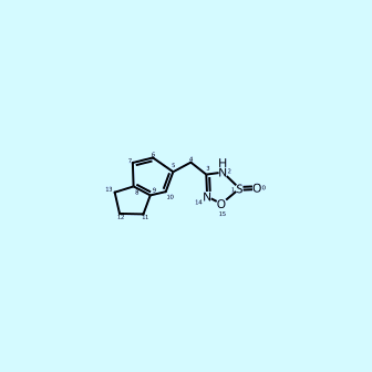 O=S1NC(Cc2ccc3c(c2)CCC3)=NO1